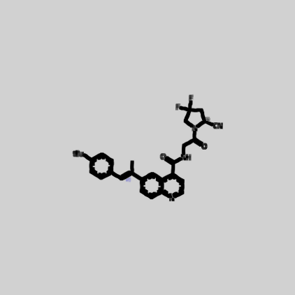 C/C(=C\c1ccc(C(C)(C)C)cc1)c1ccc2nccc(C(=O)NCC(=O)N3CC(F)(F)C[C@H]3C#N)c2c1